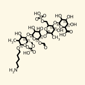 CC1C(O)[C@H](O[C@@H]2O[C@@H](OC=O)[C@@H](O[C@H]3OC(COS(=O)(=O)O)[C@@H](O[C@@H]4OC(C(=O)O)[C@@H](O)[C@H](O)C4O)[C@H](O)C3C)C(O)C2O)[C@H](COS(=O)(=O)O)O[C@@H]1OCCCCCN